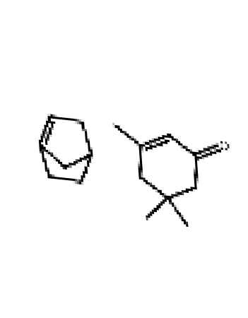 C1=C2CCC(C1)C2.CC1=CC(=O)CC(C)(C)C1